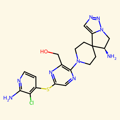 Nc1nccc(Sc2cnc(N3CCC4(CC3)c3cnnn3C[C@H]4N)c(CO)n2)c1Cl